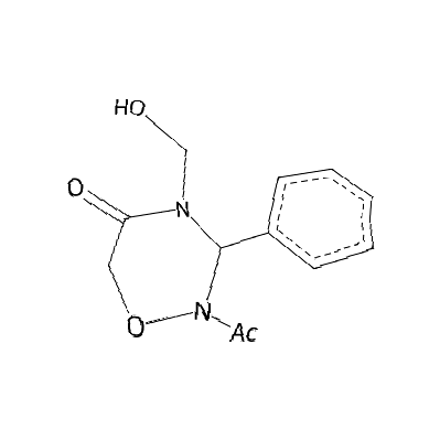 CC(=O)N1OCC(=O)N(CO)C1c1ccccc1